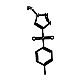 Cc1ccc(S(=O)(=O)c2cn(C(C)C)nn2)cc1